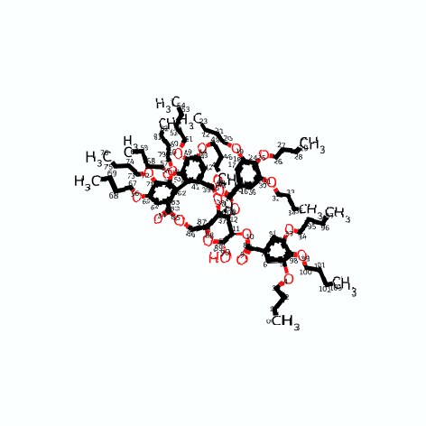 CCCCOc1cc(C(=O)O[C@@H]2[C@@H](OC(=O)c3cc(OCCCC)c(OCCCC)c(OCCCC)c3)[C@@H]3OC(=O)c4cc(OCCCC)c(OCCCC)c(OCCCC)c4-c4c(cc(OCCCC)c(OCCCC)c4OCCCC)C(=O)OCC3O[C@H]2O)cc(OCCCC)c1OCCCC